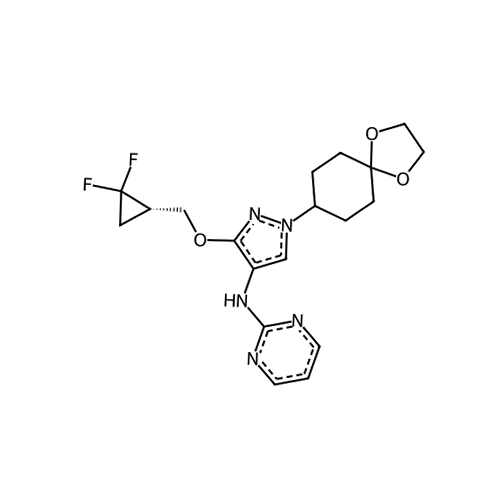 FC1(F)C[C@H]1COc1nn(C2CCC3(CC2)OCCO3)cc1Nc1ncccn1